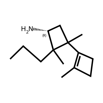 CCCC1(C)[C@H](N)CC1(C)C1=C(C)CC1